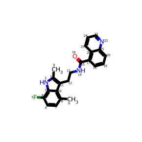 Cc1[nH]c2c(F)ccc(C)c2c1CCNC(=O)c1cccc2ncccc12